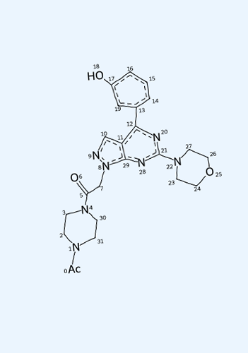 CC(=O)N1CCN(C(=O)Cn2ncc3c(-c4cccc(O)c4)nc(N4CCOCC4)nc32)CC1